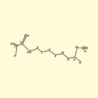 C=C(C)C(=O)OCCCCCCC(C)CO